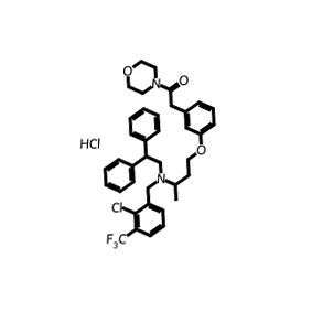 CC(CCOc1cccc(CC(=O)N2CCOCC2)c1)N(Cc1cccc(C(F)(F)F)c1Cl)CC(c1ccccc1)c1ccccc1.Cl